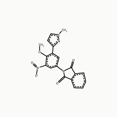 COc1c(-c2ccn(C)n2)cc(N2C(=O)c3ccccc3C2=O)cc1[N+](=O)[O-]